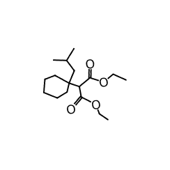 CCOC(=O)C(C(=O)OCC)C1(CC(C)C)CCCCC1